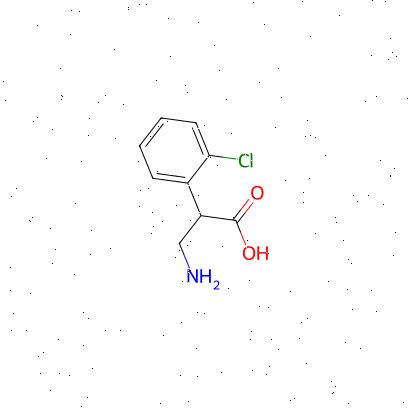 NCC(C(=O)O)c1ccccc1Cl